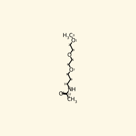 COCCOCCOCCCNC(C)=O